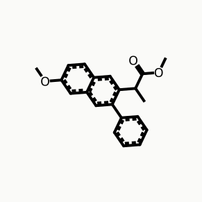 COC(=O)C(C)c1cc2ccc(OC)cc2cc1-c1ccccc1